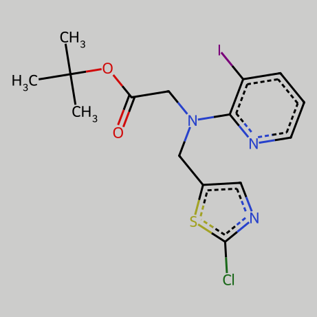 CC(C)(C)OC(=O)CN(Cc1cnc(Cl)s1)c1ncccc1I